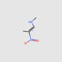 CN/C=C(\C)[N+](=O)[O-]